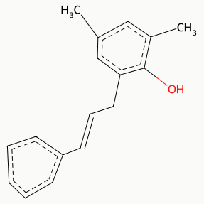 Cc1cc(C)c(O)c(C/C=C/c2ccccc2)c1